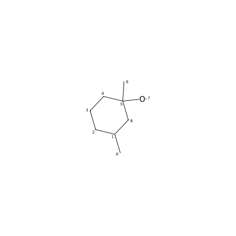 CC1CCCC(C)([O])C1